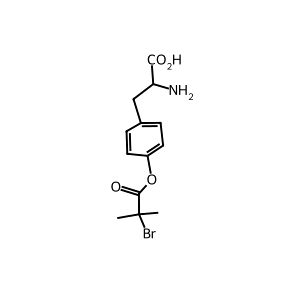 CC(C)(Br)C(=O)Oc1ccc(CC(N)C(=O)O)cc1